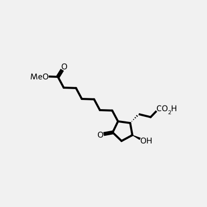 COC(=O)CCCCCCC1C(=O)C[C@H](O)[C@H]1CCC(=O)O